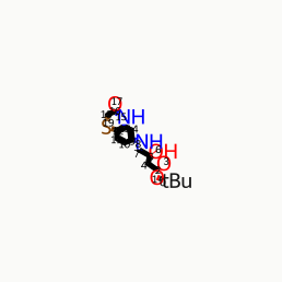 CC(C)(C)OC(=O)C[C@@H](O)CNc1ccc2c(c1)NC(=O)CS2